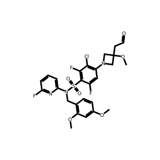 COc1ccc(CN(c2cccc(F)n2)S(=O)(=O)c2c(F)cc(N3CC(CC=O)(OC)C3)c(Cl)c2F)c(OC)c1